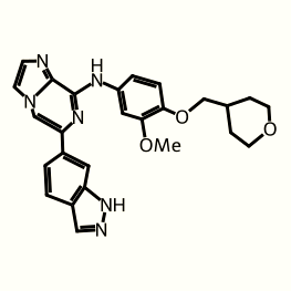 COc1cc(Nc2nc(-c3ccc4cn[nH]c4c3)cn3ccnc23)ccc1OCC1CCOCC1